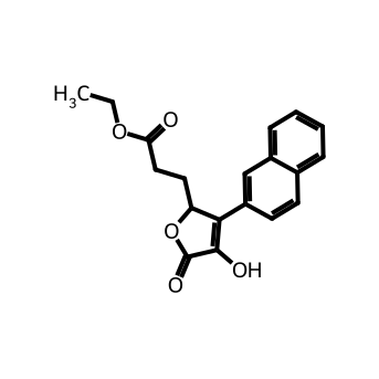 CCOC(=O)CCC1OC(=O)C(O)=C1c1ccc2ccccc2c1